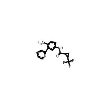 Cc1ccc(NC(=O)C2CC2C(F)(F)F)cc1-c1ccccn1